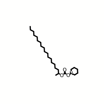 CCCCCCCCCCCCCCCCCC(C)OC(=O)ON1CCCCC1